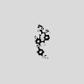 CC(c1cccc(C(O)c2cc(Cl)ccc2NCc2ccc([N+](=O)[O-])cc2)c1)C(N)C(=O)OC(C)(C)C